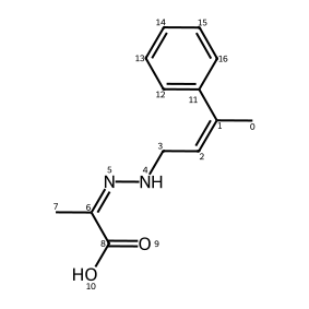 C/C(=C/CN/N=C(/C)C(=O)O)c1ccccc1